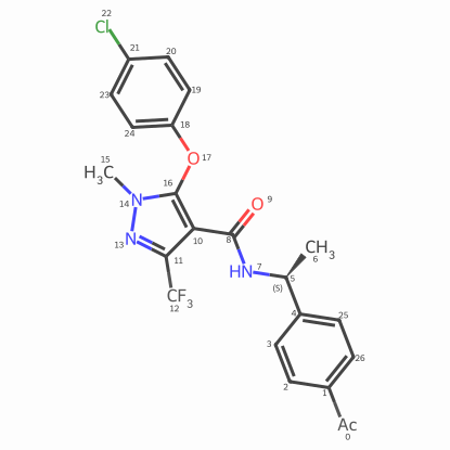 CC(=O)c1ccc([C@H](C)NC(=O)c2c(C(F)(F)F)nn(C)c2Oc2ccc(Cl)cc2)cc1